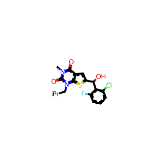 CC(C)Cn1c(=O)n(C)c(=O)c2cc(C(O)c3c(F)cccc3Cl)sc21